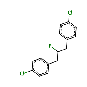 FC(Cc1ccc(Cl)cc1)Cc1ccc(Cl)cc1